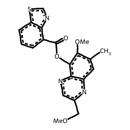 COCc1cnc2c(OC(=O)c3cccc4scnc34)c(OC)c(C)cc2n1